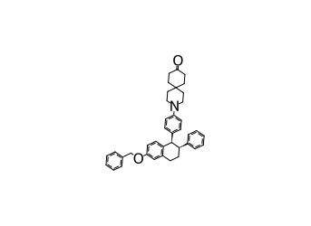 O=C1CCC2(CC1)CCN(c1ccc([C@@H]3c4ccc(OCc5ccccc5)cc4CC[C@@H]3c3ccccc3)cc1)CC2